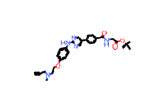 C#CCN(C)CCOc1ccc(Nc2ncc(-c3ccc(C(=O)NCC(=O)OC(C)(C)C)cc3)cn2)cc1